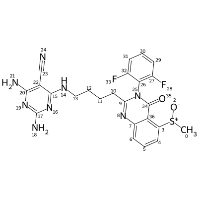 C[S+]([O-])c1cccc2nc(CCCCNc3nc(N)nc(N)c3C#N)n(-c3c(F)cccc3F)c(=O)c12